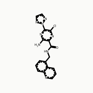 Nc1nc(-n2nccn2)c(Cl)nc1C(=O)NCc1cccc2ncccc12